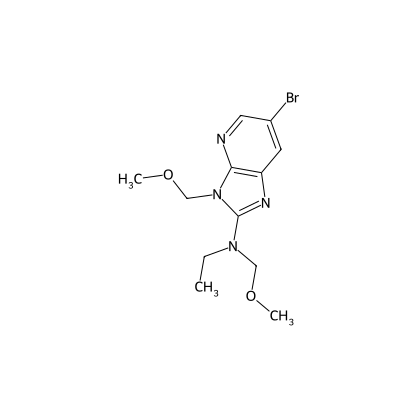 CCN(COC)c1nc2cc(Br)cnc2n1COC